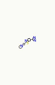 c1ncc(-c2ccc3nc(C4CC(N5CCCCC5)C4)sc3c2)cn1